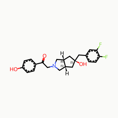 O=C(CN1C[C@@H]2C[C@](O)(Cc3ccc(F)c(F)c3)C[C@@H]2C1)c1ccc(O)cc1